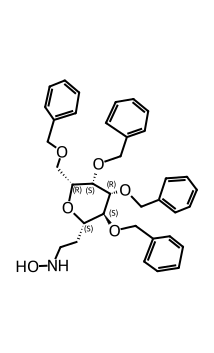 ONCC[C@@H]1O[C@H](COCc2ccccc2)[C@H](OCc2ccccc2)[C@H](OCc2ccccc2)[C@H]1OCc1ccccc1